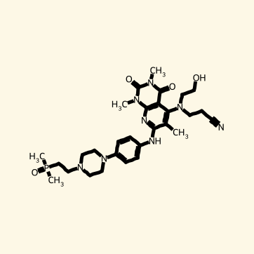 Cc1c(Nc2ccc(N3CCN(CCP(C)(C)=O)CC3)cc2)nc2c(c1N(CCO)CCC#N)c(=O)n(C)c(=O)n2C